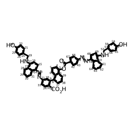 O=C(Oc1cccc2c(-c3cc(N=Nc4ccc(NCc5ccc(O)cc5)c5ccccc45)ccc3C(=O)O)cccc12)c1ccc(N=Nc2ccc(NCc3ccc(O)cc3)c3ccccc23)cc1